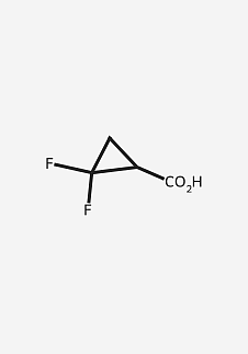 O=C(O)C1CC1(F)F